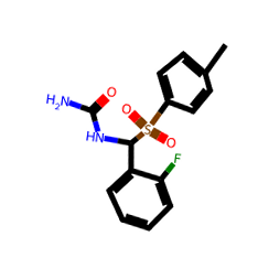 Cc1ccc(S(=O)(=O)C(NC(N)=O)c2ccccc2F)cc1